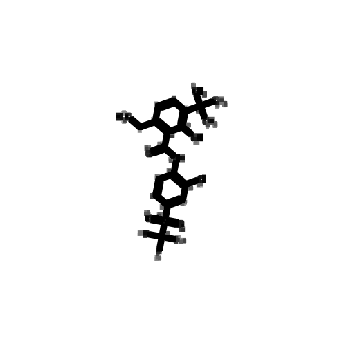 CCc1ccc(C(C)(C)C)c(O)c1C(=O)Nc1ccc(S(=O)(=O)C(F)(F)F)cc1Cl